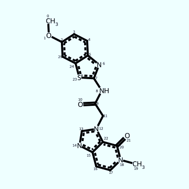 COc1ccc2nc(NC(=O)Cn3cnc4ccn(C)c(=O)c43)sc2c1